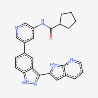 O=C(Nc1cncc(-c2ccc3[nH]nc(-c4cc5cccnc5[nH]4)c3c2)c1)C1CCCC1